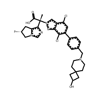 C[C@](C(=O)O)(c1ncn2c1C[C@@H](F)C2)n1cc2c(Cl)cc(-c3ccc(CN4CCC5(CC4)CC(O)C5)cc3)c(Cl)c2n1